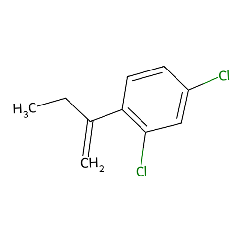 C=C(CC)c1ccc(Cl)cc1Cl